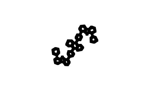 c1ccc(-c2cccc3c2oc2c(-c4ccc(-c5c6ccccc6c(-c6ccc(-c7cccc8c7oc7c(-c9ccccc9)cccc78)cc6)c6ccccc56)cc4)cccc23)cc1